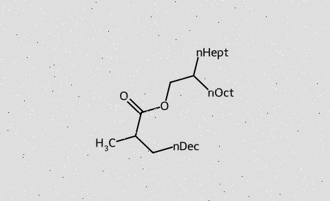 CCCCCCCCCCCC(C)C(=O)OCC(CCCCCCC)CCCCCCCC